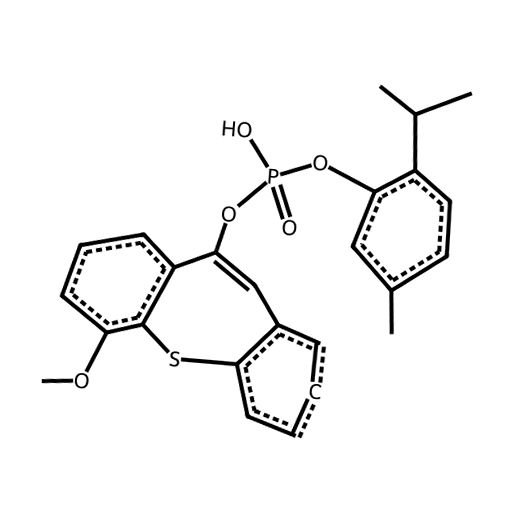 COc1cccc2c1Sc1ccccc1C=C2OP(=O)(O)Oc1cc(C)ccc1C(C)C